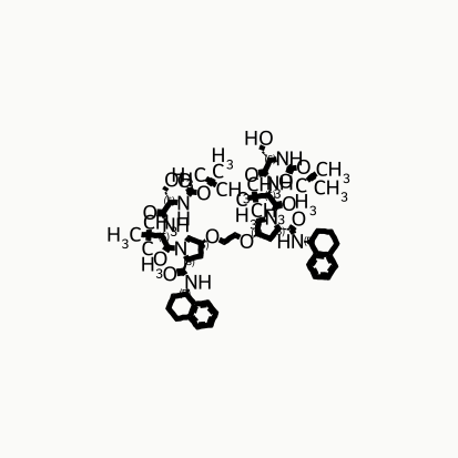 CC(C)(C)OC(=O)N[C@@H](CO)C(=O)N[C@H](C(=O)N1C[C@@H](OCCO[C@H]2C[C@@H](C(=O)N[C@@H]3CCCc4ccccc43)N(C(=O)[C@@H](NC(=O)[C@H](CO)NC(=O)OC(C)(C)C)C(C)(C)C)C2)C[C@H]1C(=O)N[C@@H]1CCCc2ccccc21)C(C)(C)C